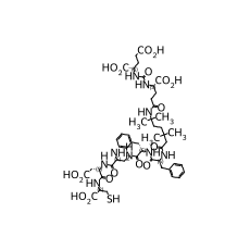 CC(C)(CCC(C)(C)NC(=O)CC[C@H](NC(=O)N[C@@H](CCC(=O)O)C(=O)O)C(=O)O)CC(=O)N[C@@H](Cc1ccccc1)C(=O)N[C@@H](Cc1ccccc1)C(=O)NC[C@H](N)C(=O)N[C@@H](CC(=O)O)C(=O)N[C@@H](CS)C(=O)O